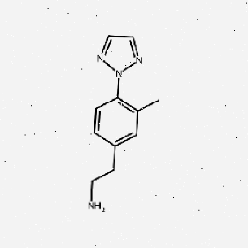 Cc1cc(CCN)ccc1-n1nccn1